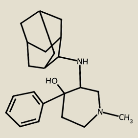 CN1CCC(O)(c2ccccc2)C(NC2C3CC4CC(C3)CC2C4)C1